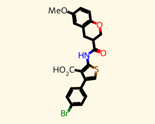 COc1ccc2c(c1)CC(C(=O)Nc1scc(-c3ccc(Br)cc3)c1C(=O)O)CO2